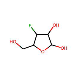 OCC1OC(O)C(O)C1F